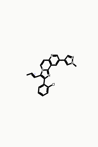 C/C=C/c1c(-c2ccccc2Cl)nc2c3cc(-c4cnn(C)c4)cnc3ccn12